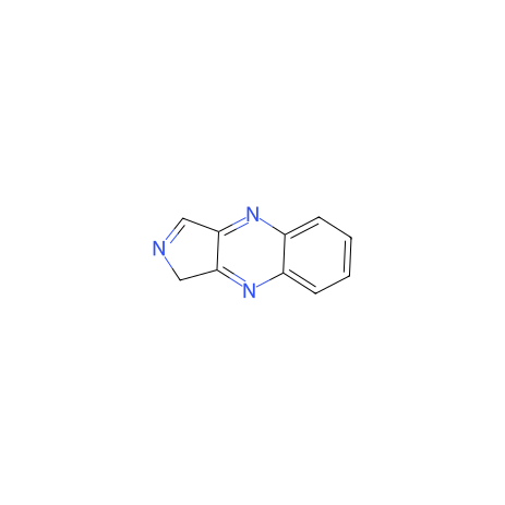 C1=NCc2nc3ccccc3nc21